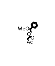 CO[C@H](COC(=O)CC(C)=O)c1ccccc1